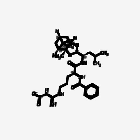 CC(C)C[C@H](NC(=O)[C@H](CCCNC(=N)N[N+](=O)[O-])NC(=O)c1ccccc1)B1O[C@@H]2C[C@@H]3C[C@@H](C3(C)C)[C@]2(C)O1